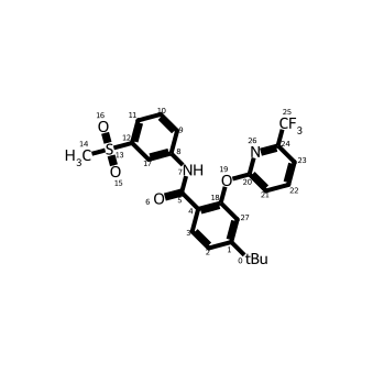 CC(C)(C)c1ccc(C(=O)Nc2cccc(S(C)(=O)=O)c2)c(Oc2cccc(C(F)(F)F)n2)c1